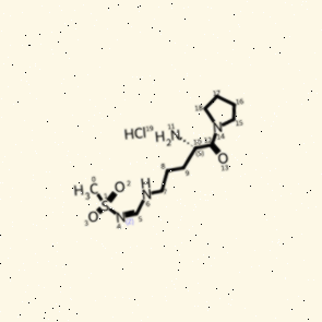 CS(=O)(=O)/N=C\NCCC[C@H](N)C(=O)N1CCCC1.Cl